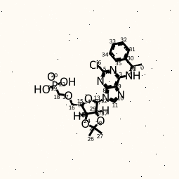 C[C@@H](Nc1nc(Cl)nc2c1ncn2[C@@H]1O[C@H](COCP(=O)(O)O)[C@H]2OC(C)(C)O[C@H]21)c1ccccc1